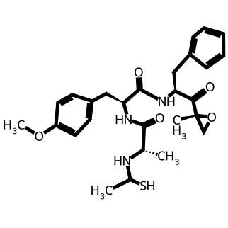 COc1ccc(C[C@H](NC(=O)[C@H](C)NC(C)S)C(=O)N[C@@H](Cc2ccccc2)C(=O)[C@@]2(C)CO2)cc1